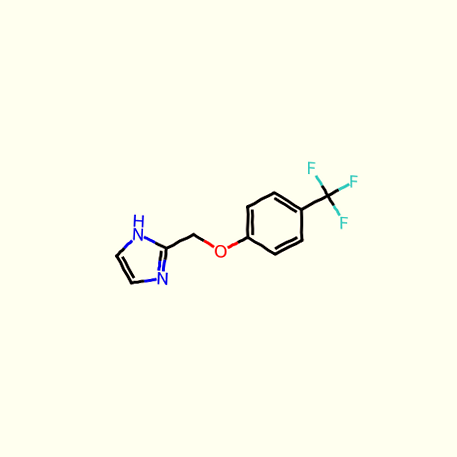 FC(F)(F)c1ccc(OCc2ncc[nH]2)cc1